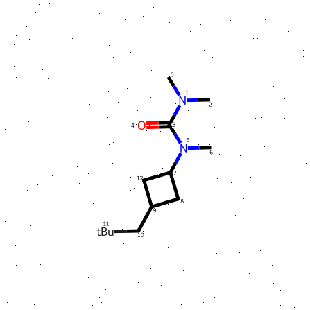 CN(C)C(=O)N(C)C1CC(CC(C)(C)C)C1